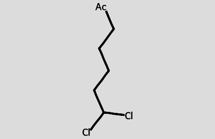 CC(=O)CCCCC(Cl)Cl